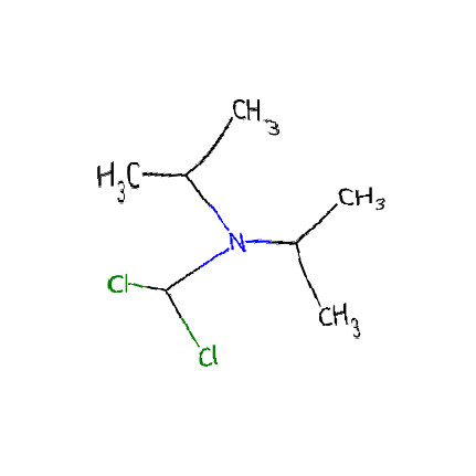 CC(C)N(C(C)C)C(Cl)Cl